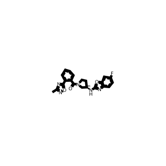 Cc1noc(-c2ccccc2C(=O)N2CC[C@@H](Nc3nc4ccc(F)cc4o3)C2)n1